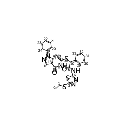 CCSc1nnc(NC(=O)C(Sc2nc3c(cnn3-c3ccccc3)c(=O)[nH]2)c2ccccc2)s1